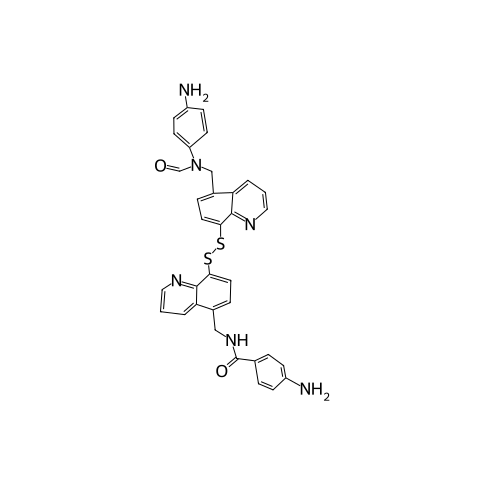 Nc1ccc(C(=O)NCc2ccc(SSc3ccc(CN(C=O)c4ccc(N)cc4)c4cccnc34)c3ncccc23)cc1